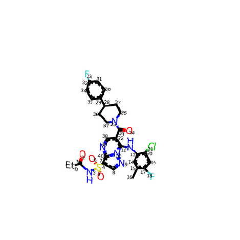 CCC(=O)NS(=O)(=O)c1cnn2c(Nc3cc(C)c(F)cc3Cl)c(C(=O)N3CCC(c4ccc(F)cc4)CC3)cnc12